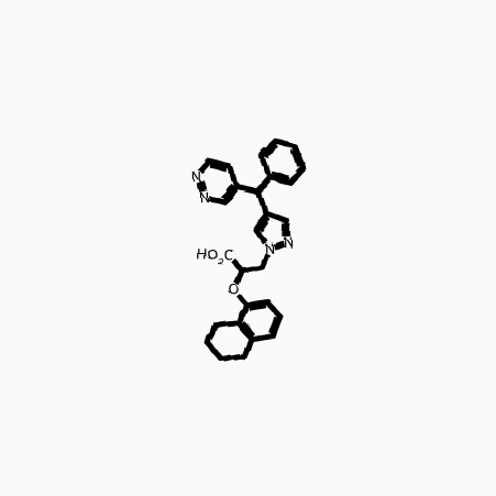 O=C(O)C(Cn1cc(C(c2ccccc2)c2ccnnc2)cn1)Oc1cccc2c1CCCC2